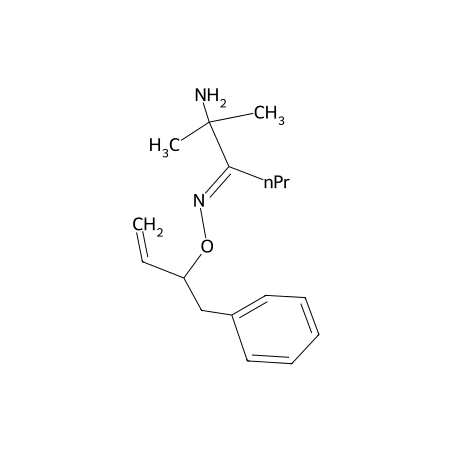 C=CC(Cc1ccccc1)O/N=C(\CCC)C(C)(C)N